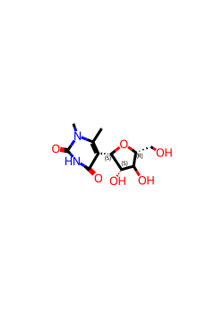 Cc1c([C@@H]2O[C@H](CO)C(O)[C@@H]2O)c(=O)[nH]c(=O)n1C